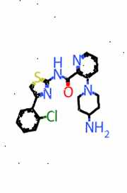 NC1CCN(c2cccnc2C(=O)Nc2nc(-c3ccccc3Cl)cs2)CC1